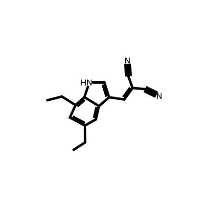 CCc1cc(CC)c2[nH]cc(C=C(C#N)C#N)c2c1